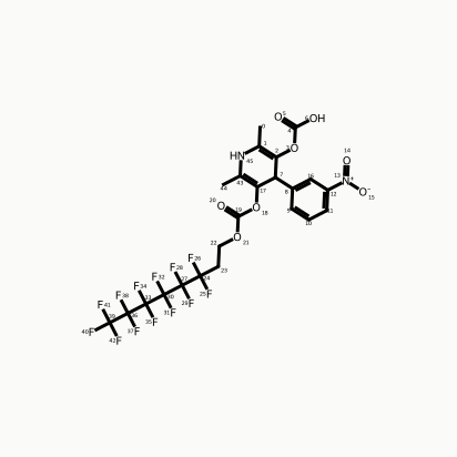 CC1=C(OC(=O)O)C(c2cccc([N+](=O)[O-])c2)C(OC(=O)OCCC(F)(F)C(F)(F)C(F)(F)C(F)(F)C(F)(F)C(F)(F)F)=C(C)N1